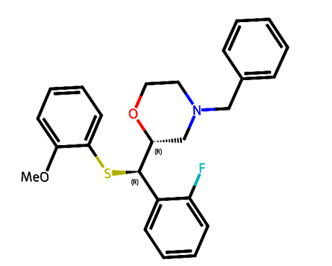 COc1ccccc1S[C@H](c1ccccc1F)[C@H]1CN(Cc2ccccc2)CCO1